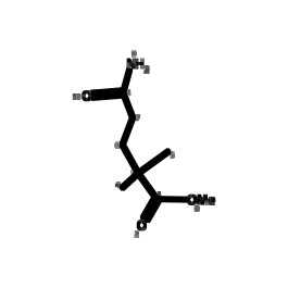 COC(=O)C(C)(C)CCC(N)=O